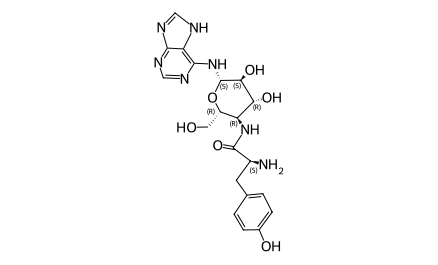 N[C@@H](Cc1ccc(O)cc1)C(=O)N[C@@H]1[C@@H](O)[C@H](O)[C@@H](Nc2ncnc3nc[nH]c23)O[C@H]1CO